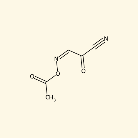 CC(=O)O/N=C\C(=O)C#N